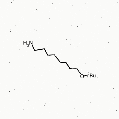 CCCCOCCCCCCCCN